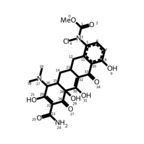 COC(=O)N(Cl)c1ccc(O)c2c1CC1CC3C(N(C)C)C(O)=C(C(N)=O)C(=O)C3(O)C(O)=C1C2=O